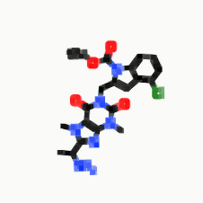 CC(N)c1nc2c(c(=O)n(Cc3cc4c(Cl)cccc4n3C(=O)OC(C)(C)C)c(=O)n2C)n1C